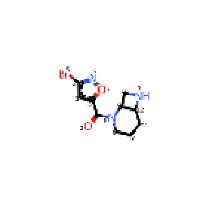 O=C(c1cc(Br)no1)N1CCCC2NCC21